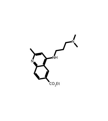 CCOC(=O)c1ccc2nc(C)cc(NCCCN(C)C)c2c1